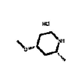 CO[C@@H]1CCN[C@H](C)C1.Cl